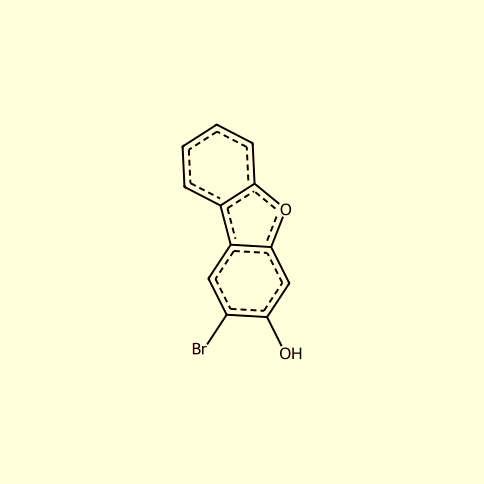 Oc1cc2oc3ccccc3c2cc1Br